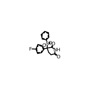 O=C1CCC(c2ccc(F)cc2)(S(=O)(=O)c2ccccc2)C(=O)N1